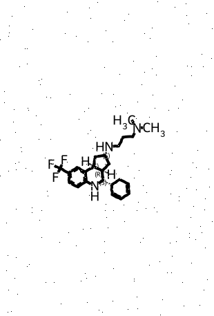 CN(C)CCCN[C@@H]1C[C@@H]2[C@H](C1)c1cc(C(F)(F)F)ccc1N[C@H]2C1C=CC=CC1